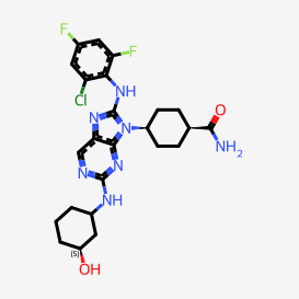 NC(=O)[C@H]1CC[C@@H](n2c(Nc3c(F)cc(F)cc3Cl)nc3cnc(NC4CCC[C@H](O)C4)nc32)CC1